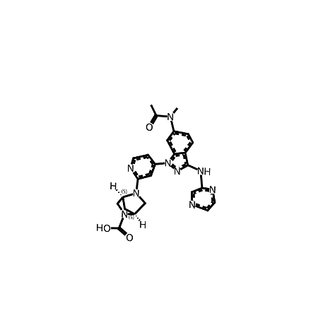 CC(=O)N(C)c1ccc2c(Nc3cnccn3)nn(-c3ccnc(N4C[C@@H]5C[C@H]4CN5C(=O)O)c3)c2c1